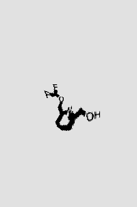 OCc1cccc(COC(F)F)n1